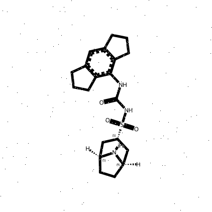 CC(C)N1[C@@H]2CC[C@H]1C[C@H](S(=O)(=O)NC(=O)Nc1c3c(cc4c1CCC4)CCC3)C2